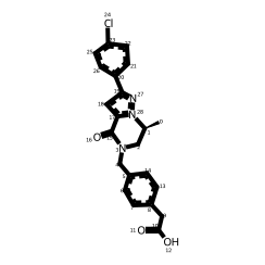 C[C@H]1CN(Cc2ccc(CC(=O)O)cc2)C(=O)c2cc(-c3ccc(Cl)cc3)nn21